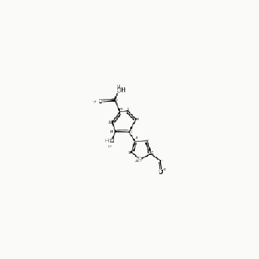 O=Cc1cc(-c2ccc(C(=O)O)cc2O)cs1